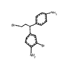 Nc1ccc(C(CCBr)c2ccc(N)c(Br)c2)cc1